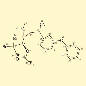 CC1(C)[C@@H]([C@@H](OC(=O)C(F)(F)F)C(Br)(Br)Br)[C@H]1[C@H](C#N)c1cccc(Oc2ccccc2)c1